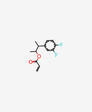 C=CC(=O)OC(C)C(C)c1ccc(F)c(F)c1